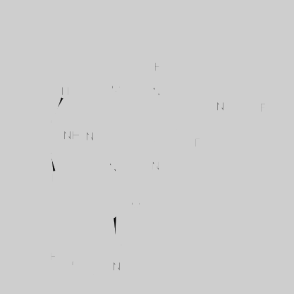 Fc1cc2cccc(F)c2c(-c2nc3c4c(nc(OC[C@@]56CCCN5C[C@H](F)C6)nc4c2F)N2C[C@@H]4CC[C@@H](N4)C2CO3)n1